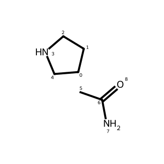 C1CCNC1.CC(N)=O